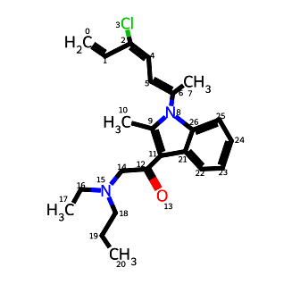 C=C/C(Cl)=C\C=C(/C)n1c(C)c(C(=O)CN(CC)CCC)c2ccccc21